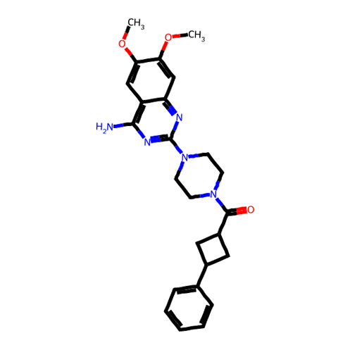 COc1cc2nc(N3CCN(C(=O)C4CC(c5ccccc5)C4)CC3)nc(N)c2cc1OC